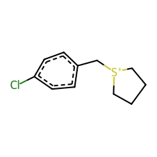 Clc1ccc(C[S+]2CCCC2)cc1